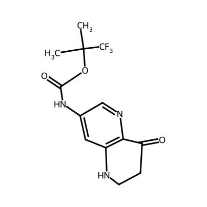 CC(C)(OC(=O)Nc1cnc2c(c1)NCCC2=O)C(F)(F)F